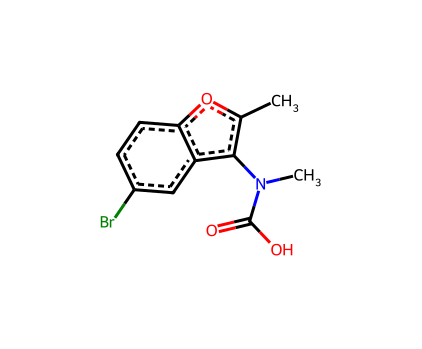 Cc1oc2ccc(Br)cc2c1N(C)C(=O)O